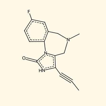 CC#Cc1[nH]c(=O)n2c1CN(C)Cc1cc(F)ccc1-2